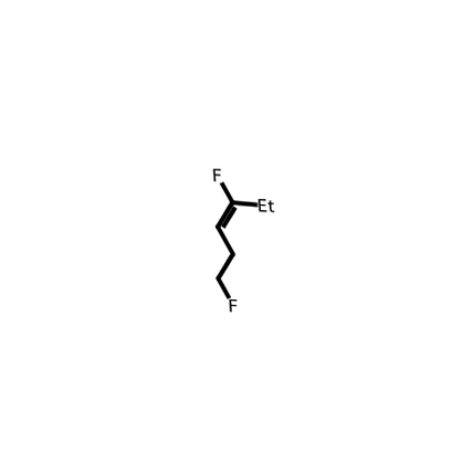 CC/C(F)=C\CCF